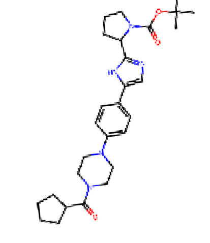 CC(C)(C)OC(=O)N1CCCC1c1ncc(-c2ccc(N3CCN(C(=O)C4CCCC4)CC3)cc2)[nH]1